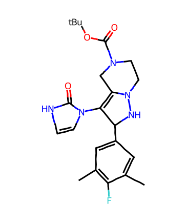 Cc1cc(C2NN3CCN(C(=O)OC(C)(C)C)CC3=C2n2cc[nH]c2=O)cc(C)c1F